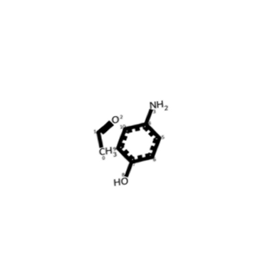 CC=O.Nc1ccc(O)cc1